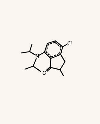 CC1Cc2c(Cl)ccc(N(C(C)C)C(C)C)c2C1=O